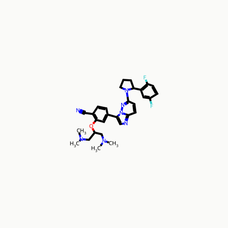 CN(C)CC(CN(C)C)Oc1cc(-c2cnc3ccc(N4CCCC4c4cc(F)ccc4F)nn23)ccc1C#N